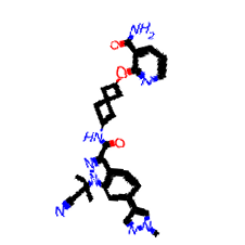 Cn1cc(-c2ccc3c(C(=O)N[C@H]4CC5(C4)C[C@H](Oc4ncccc4C(N)=O)C5)nn(C(C)(C)C#N)c3c2)cn1